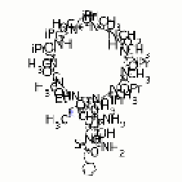 C/C=C/C[C@@H](C)[C@@H](O[C@H]1O[C@H](CNC(=S)[C@@H](Cc2ccccc2)OC(N)=O)[C@@H](O)[C@@H]1N)[C@H]1C(=O)N[C@@H](CC)C(=O)N(C)CC(=O)N(C)[C@@H](CC(C)C)C(=O)N[C@@H](C(C)C)C(=O)N(C)[C@@H](CC(C)C)C(=O)N[C@@H](C)C(=O)N[C@H](C)C(=O)N(C)[C@@H](CC(C)C)C(=O)N(C)[C@@H](CC(C)C)C(=O)N(C)[C@@H](C(C)C)C(=O)N1C